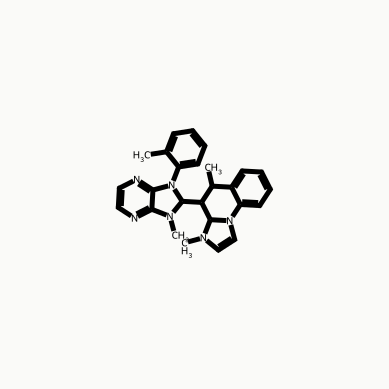 Cc1ccccc1N1c2nccnc2N(C)C1C1C(C)c2ccccc2N2C=CN(C)C12